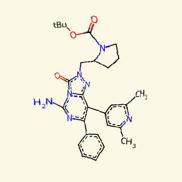 Cc1cc(-c2c(-c3ccccc3)nc(N)n3c(=O)n(CC4CCCN4C(=O)OC(C)(C)C)nc23)cc(C)n1